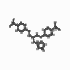 CN(C)c1ccc(CSC(Cn2ccnc2)SCc2ccc(N(C)C)cc2)cc1